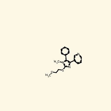 COCCSc1nc(-c2cccnc2)c(-c2ccccc2)n1C